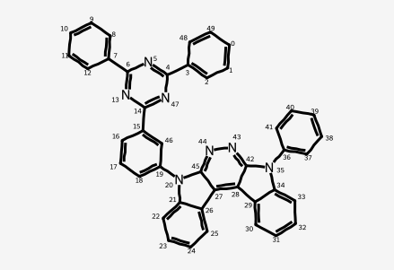 c1ccc(-c2nc(-c3ccccc3)nc(-c3cccc(-n4c5ccccc5c5c6c7ccccc7n(-c7ccccc7)c6nnc54)c3)n2)cc1